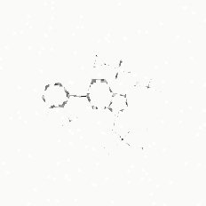 CC(C)(C)Cn1cc([C@H](NS(=O)(=O)C2CC2)C(F)(F)F)c2cc(F)c(-c3cccc(F)c3C(F)(F)F)cc21